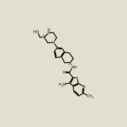 Cc1ccc2c(N)c(C(=O)N[C@H]3CCc4cc(N5CCN[C@H](CO)C5)ccc4C3)sc2n1